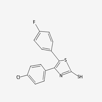 Fc1ccc(-c2sc(S)nc2-c2ccc(Cl)cc2)cc1